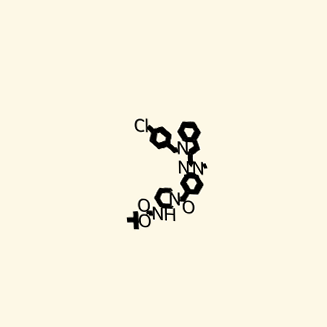 Cn1c(-c2cc3ccccc3n2Cc2ccc(Cl)cc2)nc2cc(C(=O)N3CCCC(NC(=O)OC(C)(C)C)C3)ccc21